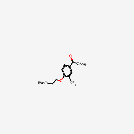 COCCOc1ccc(C(=O)OC)cc1C(F)(F)F